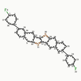 Fc1ccc(-c2ccc3cc4sc5c6cc7cc(-c8ccc(F)cc8)ccc7cc6sc5c4cc3c2)cc1